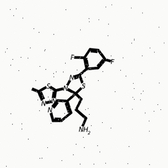 Cc1nnc(N2N=C(c3cc(F)ccc3F)SC2(CCCN)c2cccnc2)s1